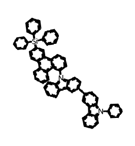 c1ccc(-n2c3ccccc3c3cc(-c4ccc5c(c4)c4ccccc4n5-c4cccc5c6cc([Si](c7ccccc7)(c7ccccc7)c7ccccc7)ccc6c6ccccc6c45)ccc32)cc1